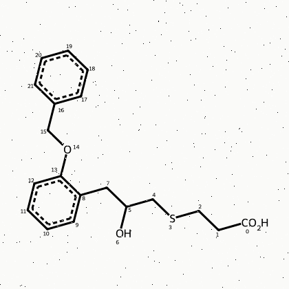 O=C(O)CCSCC(O)Cc1ccccc1OCc1ccccc1